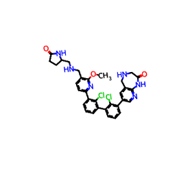 COc1nc(-c2cccc(-c3cccc(-c4cnc5c(c4)CNCC(=O)N5)c3Cl)c2Cl)ccc1CNCC1CCC(=O)N1